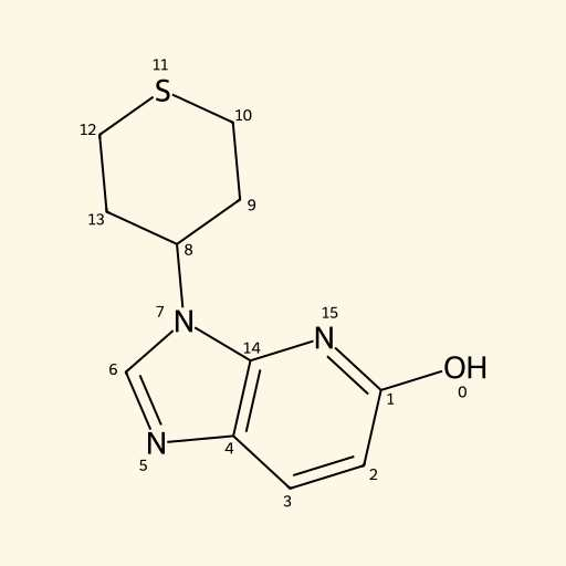 Oc1ccc2ncn(C3CCSCC3)c2n1